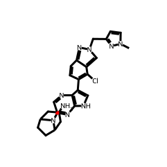 Cn1ccc(Cn2cc3c(Cl)c(-c4c[nH]c5nc(N6C7CCC6CC(N)C7)cnc45)ccc3n2)n1